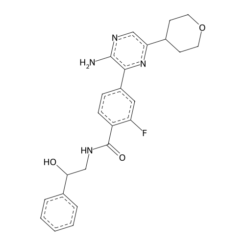 Nc1ncc(C2CCOCC2)nc1-c1ccc(C(=O)NCC(O)c2ccccc2)c(F)c1